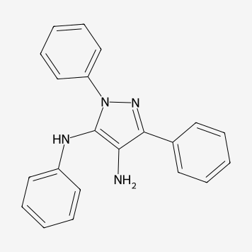 Nc1c(-c2ccccc2)nn(-c2ccccc2)c1Nc1ccccc1